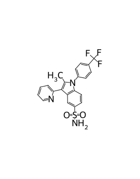 Cc1c(-c2ccccn2)c2cc(S(N)(=O)=O)ccc2n1-c1ccc(C(F)(F)F)cc1